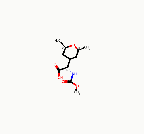 COC(=O)N[C@H](C(=O)O)C1C[C@@H](C)O[C@@H](C)C1